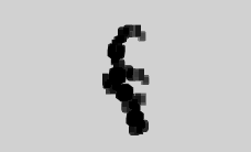 COCCN1CCC(COc2cc3ncnc(-c4ccc(NC(=O)Cc5ccc6c(c5)OCO6)cc4)c3cc2OC)CC1